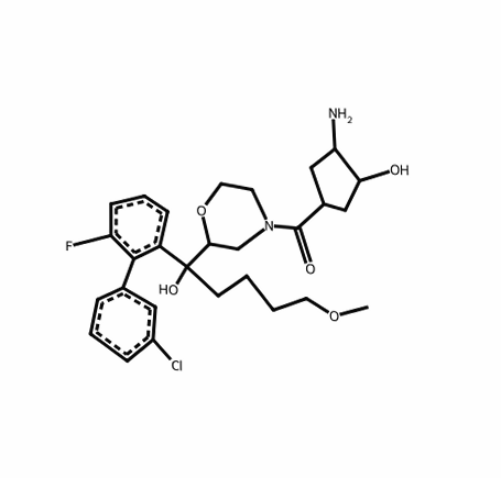 COCCCCC(O)(c1cccc(F)c1-c1cccc(Cl)c1)C1CN(C(=O)C2CC(N)C(O)C2)CCO1